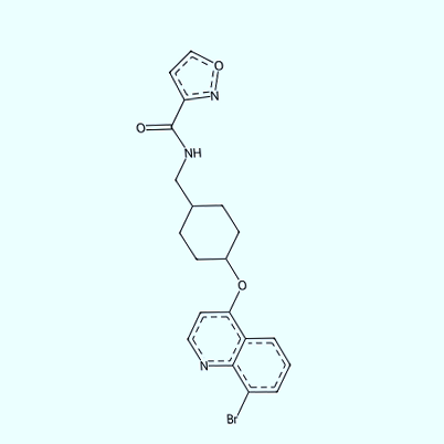 O=C(NCC1CCC(Oc2ccnc3c(Br)cccc23)CC1)c1ccon1